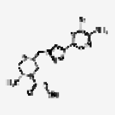 C[C@@H]1CO[C@@H](Cn2cc(-c3cnc(N)c(Br)n3)cn2)CN1C(=O)OC(C)(C)C